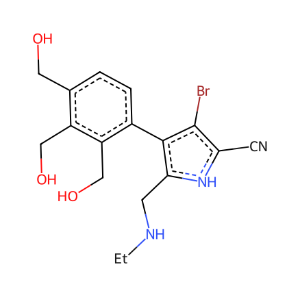 CCNCc1[nH]c(C#N)c(Br)c1-c1ccc(CO)c(CO)c1CO